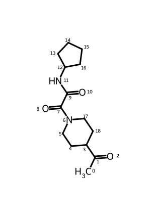 CC(=O)C1CCN(C(=O)C(=O)NC2CCCC2)CC1